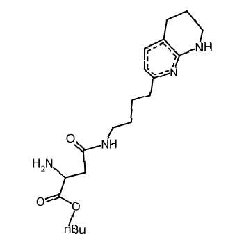 CCCCOC(=O)C(N)CC(=O)NCCCCc1ccc2c(n1)NCCC2